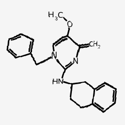 C=C1N=C(NC2CCc3ccccc3C2)N(Cc2ccccc2)C=C1OC